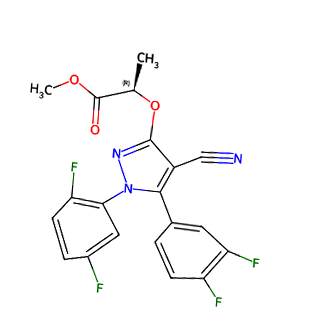 COC(=O)[C@@H](C)Oc1nn(-c2cc(F)ccc2F)c(-c2ccc(F)c(F)c2)c1C#N